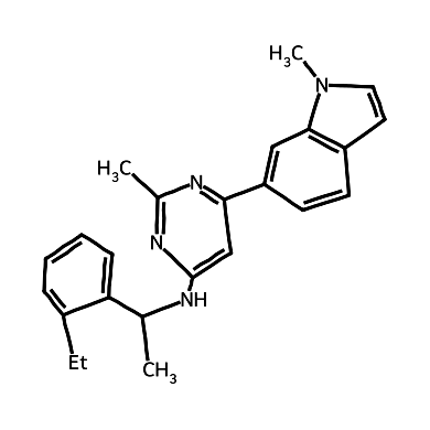 CCc1ccccc1C(C)Nc1cc(-c2ccc3ccn(C)c3c2)nc(C)n1